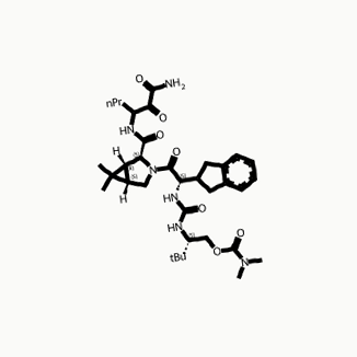 CCCC(NC(=O)[C@@H]1[C@@H]2[C@H](CN1C(=O)[C@@H](NC(=O)N[C@H](COC(=O)N(C)C)C(C)(C)C)C1Cc3ccccc3C1)C2(C)C)C(=O)C(N)=O